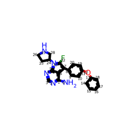 Nc1ncnc2c1c(-c1ccc(Oc3ccccc3)cc1)c(F)n2C1CCNC1